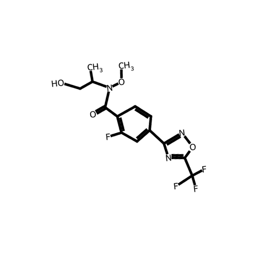 CON(C(=O)c1ccc(-c2noc(C(F)(F)F)n2)cc1F)C(C)CO